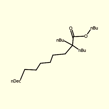 CCCCCCCCCCCCCCCCC(CCCC)(CCCC)C(=O)OCCCC